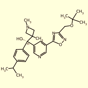 CC(C)c1ccc([C@](O)(c2cncc(-c3nc(COC(C)(C)C)no3)c2)C2(C)CN(C)C2)cc1